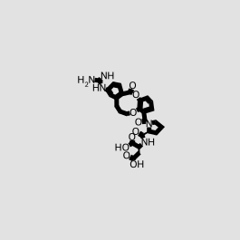 N=C(N)Nc1ccc2c(c1)CCCOc1c(cccc1C(=O)N1CCC[C@H]1C(=O)N[C@@H](CC(=O)O)C(=O)O)OC2=O